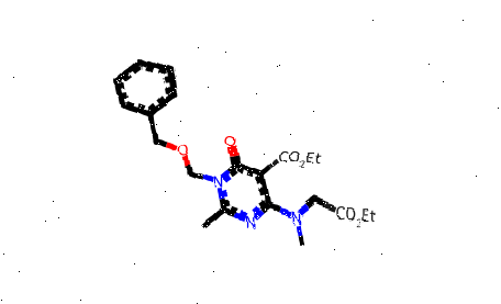 CCOC(=O)CN(C)c1nc(C)n(COCc2ccccc2)c(=O)c1C(=O)OCC